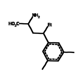 CCC(CC(N)C(=O)O)c1cc(C)cc(C)c1